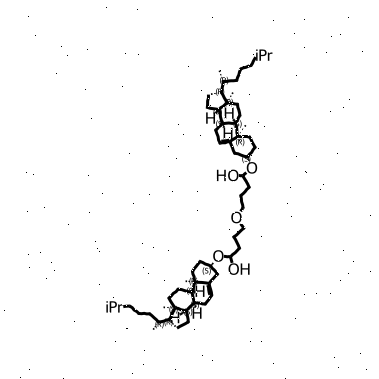 CC(C)CCC[C@@H](C)[C@H]1CC[C@H]2[C@@H]3CC=C4C[C@@H](OC(O)CCCOCCCC(O)O[C@H]5CC[C@@]6(C)C(=CC[C@H]7[C@@H]8CC[C@H]([C@H](C)CCCC(C)C)[C@@]8(C)CC[C@@H]76)C5)CC[C@]4(C)[C@H]3CC[C@]12C